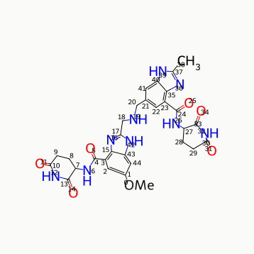 COc1cc(C(=O)NC2CCC(=O)NC2=O)c2nc(CNCc3cc(C(=O)NC4CCC(=O)NC4=O)c4nc(C)[nH]c4c3)[nH]c2c1